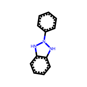 c1ccc(N2Nc3ccccc3N2)cc1